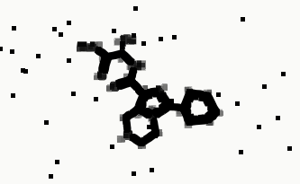 CNC(=O)[C@@H](NC(=O)c1nc(-c2ccccc2)n2c1COCC2)C(C)(C)C